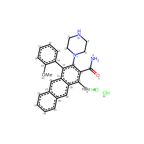 CCCCc1c(C(N)=O)c(N2CCNCC2)c(-c2ccccc2OC)c2cc3ccccc3cc12.Cl.Cl